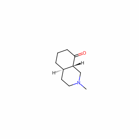 CN1CC[C@H]2CCCC(=O)[C@@H]2C1